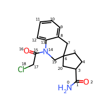 NC(=O)C1CCC2(Cc3ccccc3N(C(=O)CCl)C2)C1